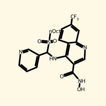 CCCCCCCCS(=O)(=O)C(Nc1c(C(=O)NO)cnc2cc(C(F)(F)F)ccc12)c1cccnc1